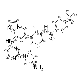 Cc1c(NC(=O)c2ccc(C(C)(C)C)cc2)cccc1-c1cc(Nc2ccnc(N3CC[C@@H](N)C3)n2)c2nccn2c1